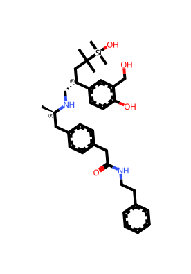 C[C@H](Cc1ccc(CC(=O)NCCc2ccccc2)cc1)NC[C@H](CC(C)(C)[Si](C)(C)O)c1ccc(O)c(CO)c1